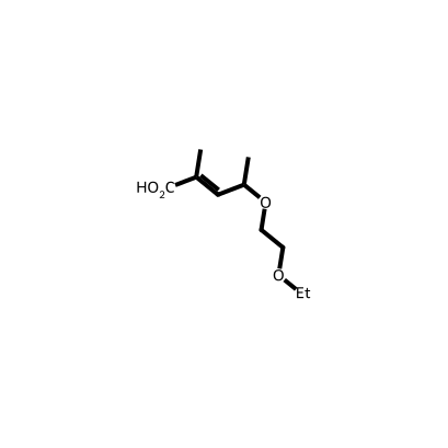 CCOCCOC(C)C=C(C)C(=O)O